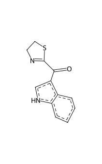 O=C(C1=NCCS1)c1c[nH]c2ccccc12